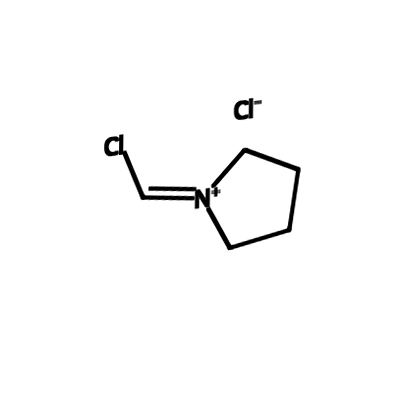 ClC=[N+]1CCCC1.[Cl-]